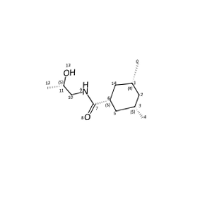 C[C@@H]1C[C@H](C)C[C@H](C(=O)NC[C@H](C)O)C1